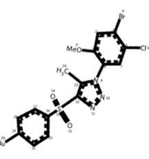 COc1cc(Br)c(Cl)cc1-n1nnc(S(=O)(=O)c2ccc(C(C)(C)C)cc2)c1C